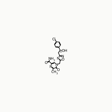 Cc1nc(C(N)=O)cn(Cc2nc(C[C@H](O)c3ccc(Cl)cc3)no2)c1=O